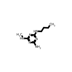 CCCCNc1nc(N)nc(NC)n1